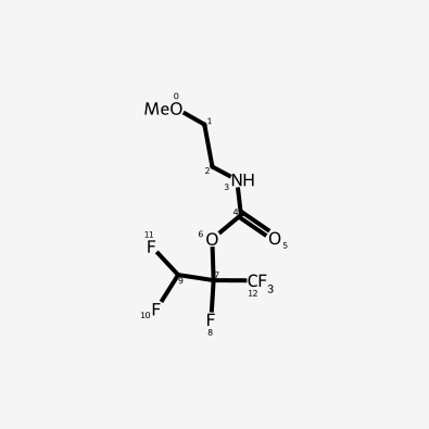 COCCNC(=O)OC(F)(C(F)F)C(F)(F)F